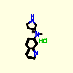 CN(c1ccc2cccnc2c1)[C@@H]1CCNC1.Cl